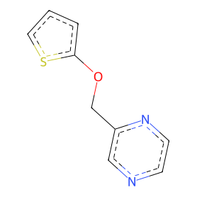 c1csc(OCc2cnccn2)c1